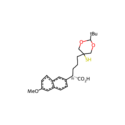 COc1ccc2cc([C@H](CCCC3(S)COC(C(C)(C)C)OC3)C(=O)O)ccc2c1